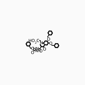 O=C(O)Cn1cc(C(=O)NNC(=O)OCc2ccccc2)c(=O)c2cc(OCc3ccccc3)c(OCc3ccccc3)cc21